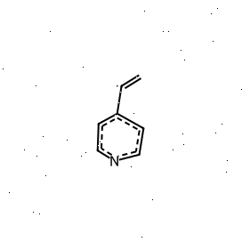 C=[C]c1ccncc1